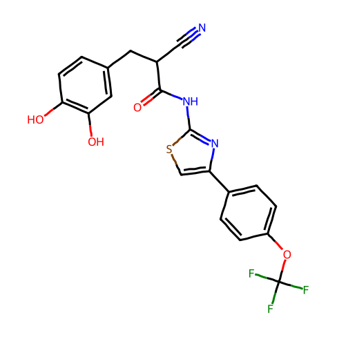 N#CC(Cc1ccc(O)c(O)c1)C(=O)Nc1nc(-c2ccc(OC(F)(F)F)cc2)cs1